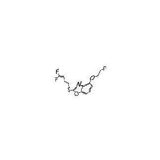 FCCOc1cccc2oc(SCCC=C(F)F)nc12